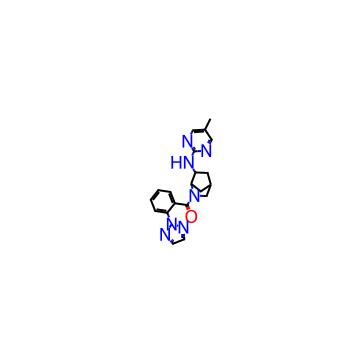 Cc1cnc(NC2CC3CC2N(C(=O)c2ccccc2-n2nccn2)C3)nc1